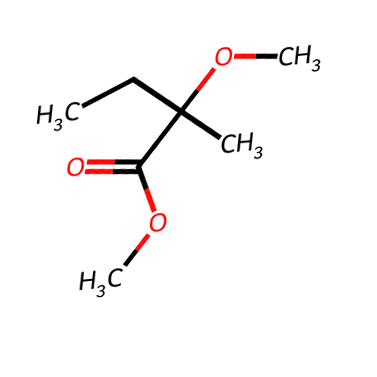 CCC(C)(OC)C(=O)OC